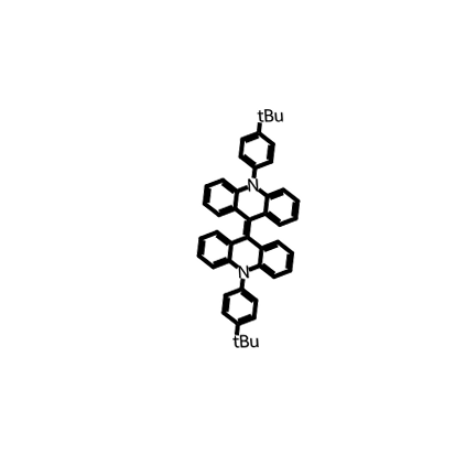 CC(C)(C)c1ccc(N2c3ccccc3C(=C3c4ccccc4N(c4ccc(C(C)(C)C)cc4)c4ccccc43)c3ccccc32)cc1